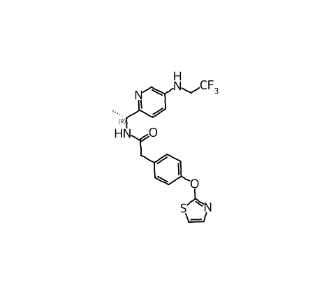 C[C@@H](NC(=O)Cc1ccc(Oc2nccs2)cc1)c1ccc(NCC(F)(F)F)cn1